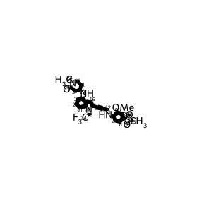 COc1cc(S(C)(=O)=O)ccc1NCC#Cc1cc2c(NC3CCN(C)C(=O)C3)cccc2n1CC(F)(F)F